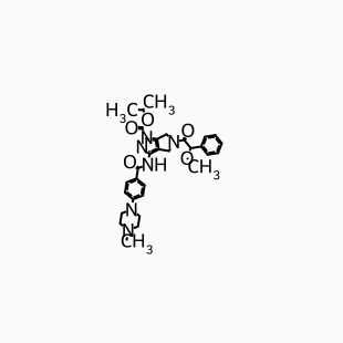 COC(C(=O)N1Cc2c(NC(=O)c3ccc(N4CCN(C)CC4)cc3)nn(C(=O)OC(C)C)c2C1)c1ccccc1